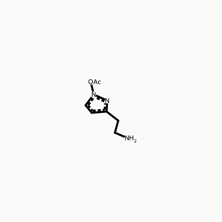 CC(=O)On1ccc(CCN)n1